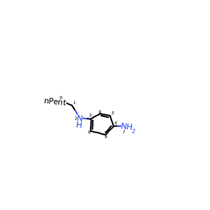 CCCCCCNc1ccc(N)cc1